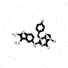 CCn1cnc2c1c(=O)nc(Nc1ccc3oc(C)c(C)c3c1)n2Cc1ccc(Cl)cc1